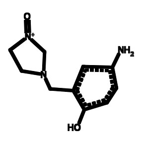 Nc1ccc(O)c(CN2CC[N+](=O)C2)c1